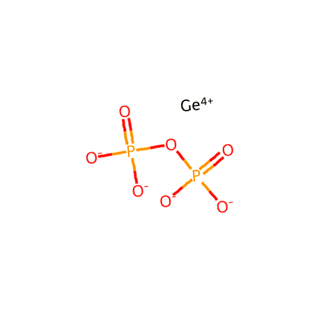 O=P([O-])([O-])OP(=O)([O-])[O-].[Ge+4]